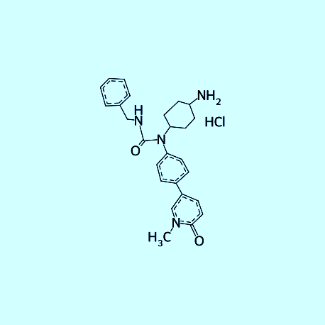 Cl.Cn1cc(-c2ccc(N(C(=O)NCc3ccccc3)C3CCC(N)CC3)cc2)ccc1=O